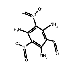 Nc1c(N=O)c(N)c([N+](=O)[O-])c(N)c1[N+](=O)[O-]